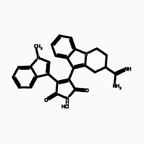 Cl.Cn1cc(C2=C(c3c4n(c5ccccc35)CCC(C(=N)N)C4)C(=O)NC2=O)c2ccccc21